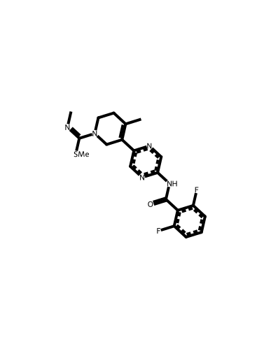 C/N=C(/SC)N1CCC(C)=C(c2cnc(NC(=O)c3c(F)cccc3F)cn2)C1